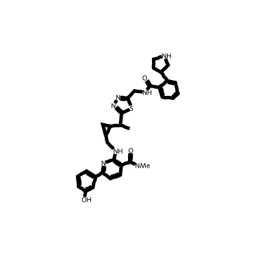 CNC(=O)c1ccc(-c2cccc(O)c2)nc1NCC1CC1C(C)c1nnc(CNC(=O)c2ccccc2C2CCNC2)s1